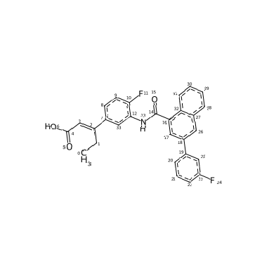 CC/C(=C\C(=O)O)c1ccc(F)c(NC(=O)c2cc(-c3cccc(F)c3)cc3ccccc23)c1